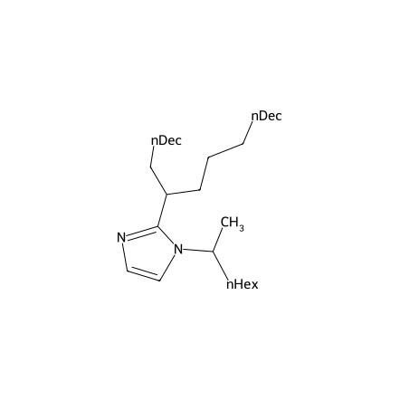 CCCCCCCCCCCCCC(CCCCCCCCCCC)c1nccn1C(C)CCCCCC